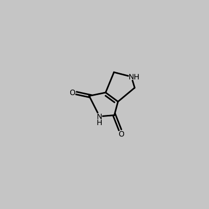 O=C1NC(=O)C2=C1CNC2